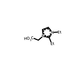 CCc1n(CC)cc[n+]1CC(=O)O